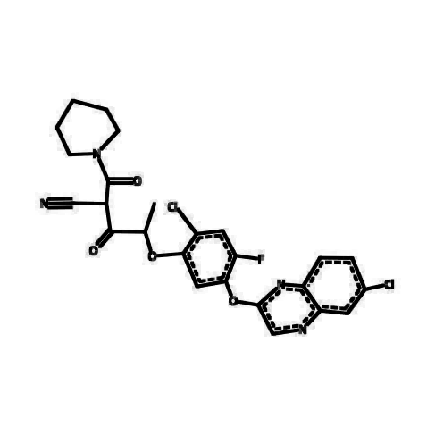 CC(Oc1cc(Oc2cnc3cc(Cl)ccc3n2)c(F)cc1Cl)C(=O)C(C#N)C(=O)N1CCCCC1